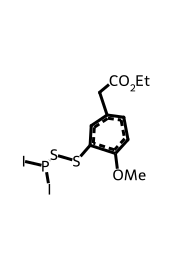 CCOC(=O)Cc1ccc(OC)c(SSP(I)I)c1